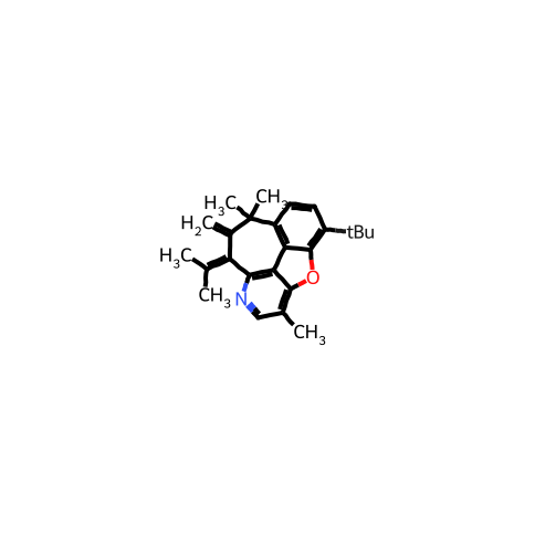 C=C1C(=C(C)C)c2ncc(C)c3oc4c(C(C)(C)C)ccc(c4c23)C1(C)C